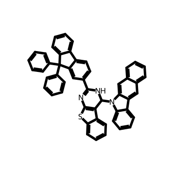 c1ccc(C2(c3ccccc3)c3ccccc3-c3ccc(C4=Nc5sc6ccccc6c5C(n5c6ccccc6c6cc7ccccc7cc65)N4)cc32)cc1